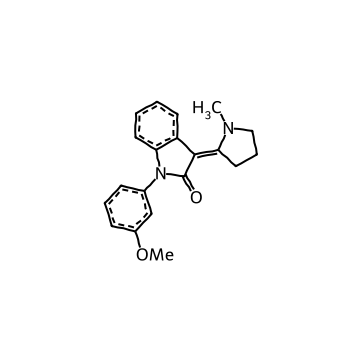 COc1cccc(N2C(=O)/C(=C3\CCCN3C)c3ccccc32)c1